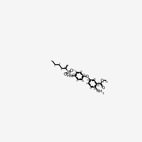 CCCCC(C)S(=O)(=O)Nc1ccc(Oc2ccc(N)c(C(=O)OC)c2)cc1